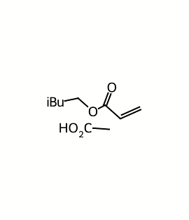 C=CC(=O)OCC(C)CC.CC(=O)O